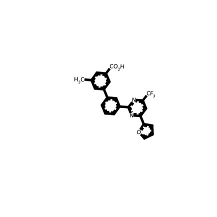 Cc1cc(C(=O)O)cc(-c2cccc(-c3nc(-c4ccco4)cc(C(F)(F)F)n3)c2)c1